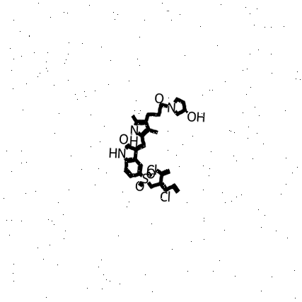 C=C/C(Cl)=C(/CS(=O)(=O)c1ccc2c(c1)/C(=C/c1[nH]c(C)c(CCC(=O)N3CC[C@@H](O)C3)c1C)C(=O)N2)C(=C)Cl